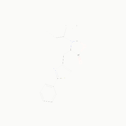 CCOC(=O)C(CC(C)C)N1COC(=O)C1Cc1csc(-c2ccccc2)n1